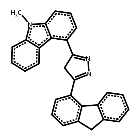 Cn1c2ccccc2c2c(C3=NN=C(c4cccc5c4-c4ccccc4C5)C3)cccc21